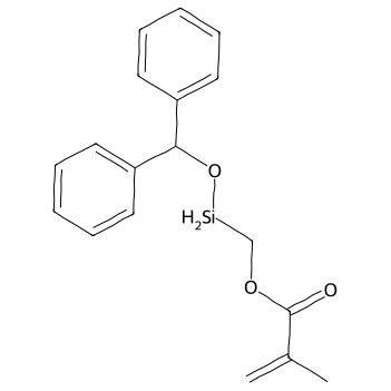 C=C(C)C(=O)OC[SiH2]OC(c1ccccc1)c1ccccc1